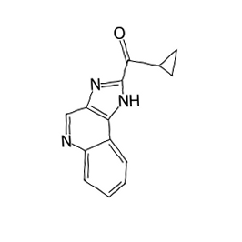 O=C(c1nc2cnc3ccccc3c2[nH]1)C1CC1